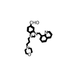 O=Cc1ccc2c(c1)N(Cc1cccc3cccnc13)CN2CCCN1CCOCC1